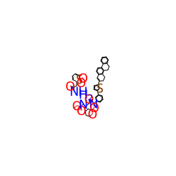 COC(=O)NCC(=O)N(OC1CCCCO1)c1cccc(-c2ccc(C3=Cc4ccc5c(c4CC3)CCc3ccccc3-5)s2)c1.NC(=O)CC1C=CC=CS1(=O)=O